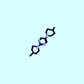 CC1CCN(c2cnc(N3CCC(C)CC3)nc2)CC1